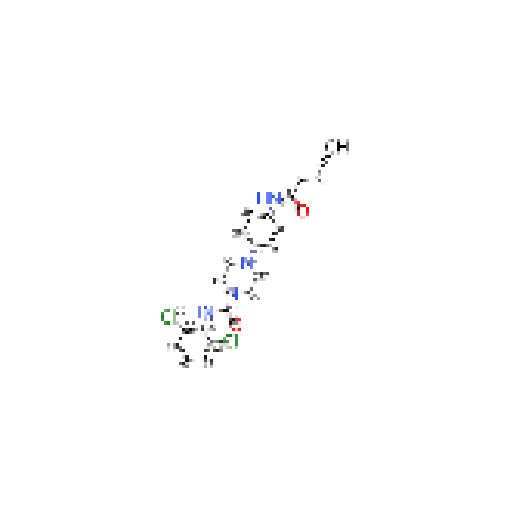 C#CCCC(=O)Nc1ccc(N2CCN(C(=O)Nc3c(Cl)cccc3Cl)CC2)cc1